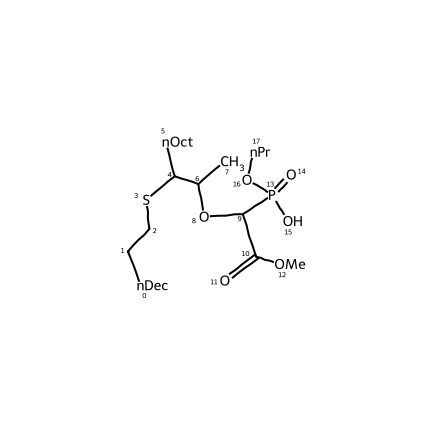 CCCCCCCCCCCCSC(CCCCCCCC)C(C)OC(C(=O)OC)P(=O)(O)OCCC